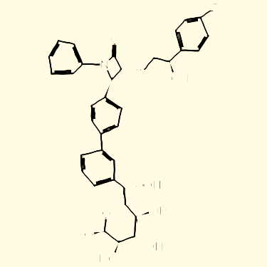 O=C1[C@H](CC[C@H](O)c2ccc(F)cc2)[C@@H](c2ccc(-c3cccc([C@H](O)[C@H]4O[C@H](O)[C@H](O)[C@@H](O)[C@@H]4O)c3)cc2)N1c1ccccc1